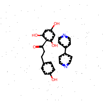 O=C(CCc1ccc(O)cc1)c1c(O)cc(O)cc1O.c1cc(-c2ccncc2)ccn1